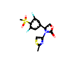 Cc1nc(-n2c(-c3cc(F)c(S(C)(=O)=O)c(F)c3)coc2=O)cs1